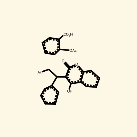 CC(=O)CC(c1ccccc1)c1c(O)c2ccccc2oc1=O.CC(=O)Oc1ccccc1C(=O)O